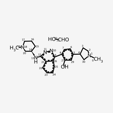 CN1CCC(c2ccc(-c3nnc(N[C@@H]4CCCN(C)C4)c4ccccc34)c(O)c2)C1.O=CO